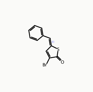 O=C1S/C(=C/c2ccccc2)C=C1Br